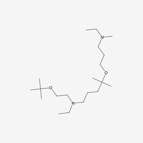 CCN(C)CCCOC(C)(C)CCCN(CC)CCOC(C)(C)C